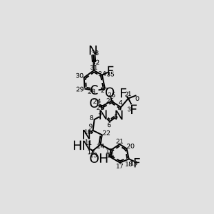 CC(F)(F)c1ncn(CC2=NNC(O)C(c3ccc(F)cc3)=C2)c(=O)c1Oc1cccc(C#N)c1F